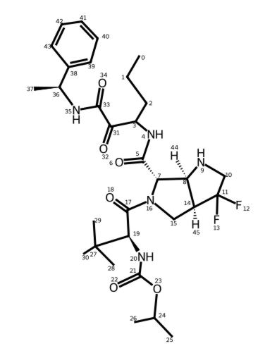 CCCC(NC(=O)[C@@H]1[C@H]2NCC(F)(F)[C@H]2CN1C(=O)[C@@H](NC(=O)OC(C)C)C(C)(C)C)C(=O)C(=O)N[C@@H](C)c1ccccc1